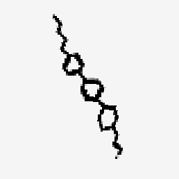 CCCCCc1ccc(-c2ccc(C3CCC(CC=CF)CC3)cc2)cc1